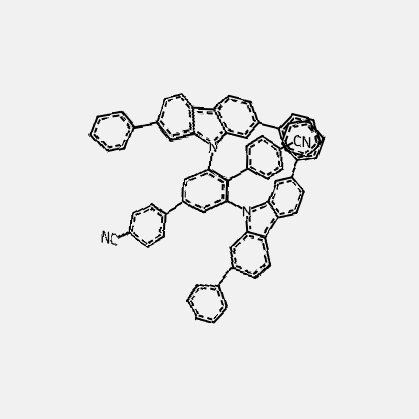 N#Cc1ccc(-c2cc(-n3c4cc(-c5ccccc5)ccc4c4ccc(-c5ccccc5)cc43)c(-c3ccc(C#N)cc3)c(-n3c4cc(-c5ccccc5)ccc4c4ccc(-c5ccccc5)cc43)c2)cc1